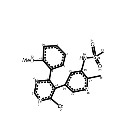 CCc1ncnc(-c2ccccc2OC)c1-c1cnc(C)c(NS(C)(=O)=O)c1